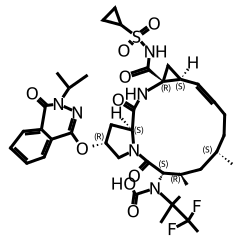 CC(C)n1nc(O[C@@H]2C[C@H]3C(=O)N[C@]4(C(=O)NS(=O)(=O)C5CC5)C[C@H]4C=CCC[C@H](C)C[C@@H](C)[C@H](N(C(=O)O)C(C)(C)C(C)(F)F)C(=O)N3C2)c2ccccc2c1=O